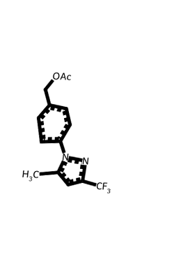 CC(=O)OCc1ccc(-n2nc(C(F)(F)F)cc2C)cc1